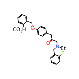 CCN(CC(=O)Cc1ccc(OCc2ccccc2C(=O)O)cc1)Cc1ccccc1F